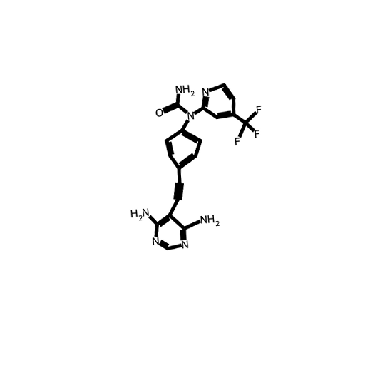 NC(=O)N(c1ccc(C#Cc2c(N)ncnc2N)cc1)c1cc(C(F)(F)F)ccn1